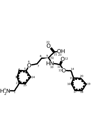 NCc1ccc(OCC[C@H](NC(=O)OCc2ccccc2)C(=O)O)cc1